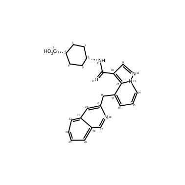 O=C(N[C@H]1CC[C@@H](C(=O)O)CC1)c1cnn2cccc(Cc3cc4ccccc4cn3)c12